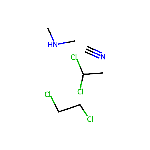 C#N.CC(Cl)Cl.CNC.ClCCCl